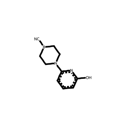 N#CB1CCN(c2cccc(O)n2)CC1